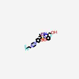 CC1(C)OC(N[C@@H](CCO)c2ccccc2F)=NS(=O)(=O)C1c1ccc(N2CCN(CCC(F)(F)F)CC2)cc1